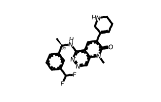 C[C@@H](Nc1nncc2c1cc(C1=CCCNC1)c(=O)n2C)c1cccc(C(F)F)c1